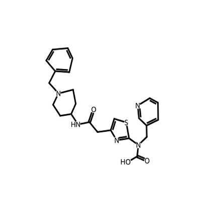 O=C(Cc1csc(N(Cc2cccnc2)C(=O)O)n1)NC1CCN(Cc2ccccc2)CC1